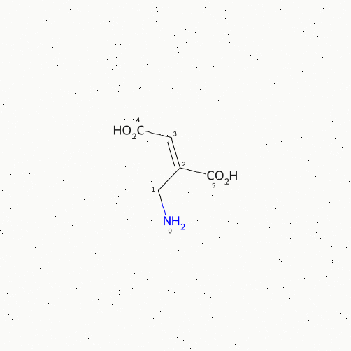 NCC(=CC(=O)O)C(=O)O